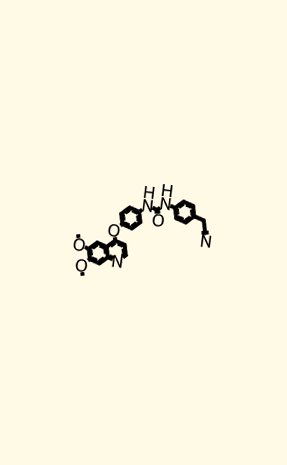 COc1cc2nccc(Oc3ccc(NC(=O)Nc4ccc(CC#N)cc4)cc3)c2cc1OC